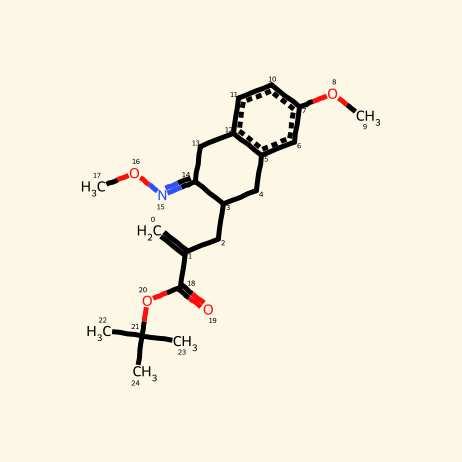 C=C(CC1Cc2cc(OC)ccc2CC1=NOC)C(=O)OC(C)(C)C